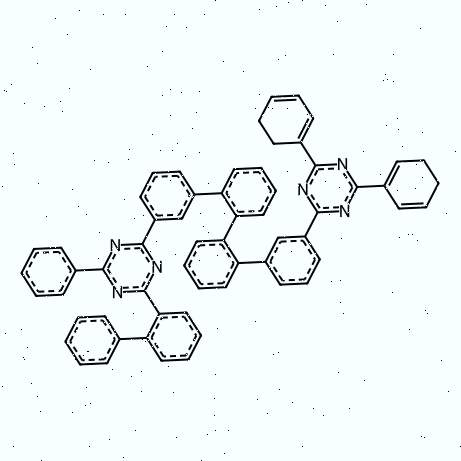 C1=CCCC(c2nc(C3=CCCC=C3)nc(-c3cccc(-c4ccccc4-c4ccccc4-c4cccc(-c5nc(-c6ccccc6)nc(-c6ccccc6-c6ccccc6)n5)c4)c3)n2)=C1